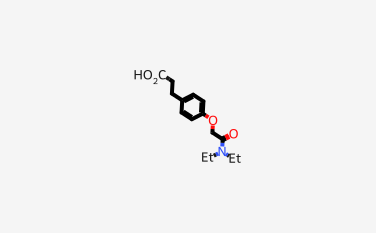 CCN(CC)C(=O)COc1ccc(CCC(=O)O)cc1